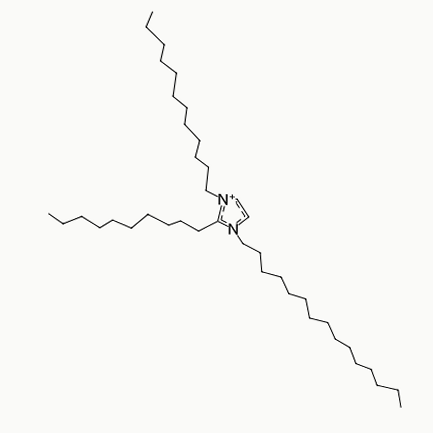 CCCCCCCCCCCCCCCn1cc[n+](CCCCCCCCCCCC)c1CCCCCCCCCC